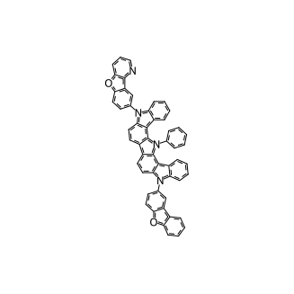 c1ccc(-n2c3c(ccc4c3c3ccccc3n4-c3ccc4oc5ccccc5c4c3)c3ccc4c(c5ccccc5n4-c4ccc5oc6cccnc6c5c4)c32)cc1